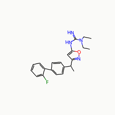 CCN(CC)C(=N)Nc1cc(C(C)c2ccc(-c3ccccc3F)cc2)no1